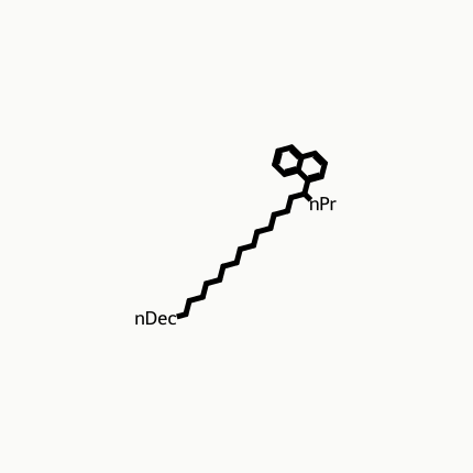 CCCCCCCCCCCCCCCCCCCCCCCCC(CCC)c1cccc2ccccc12